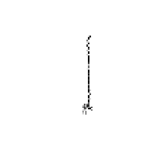 C#CCCCCCCCCCCCCCCCCCCCCCCCCCCCCC(O[SiH](C)C)C(C)(C)C